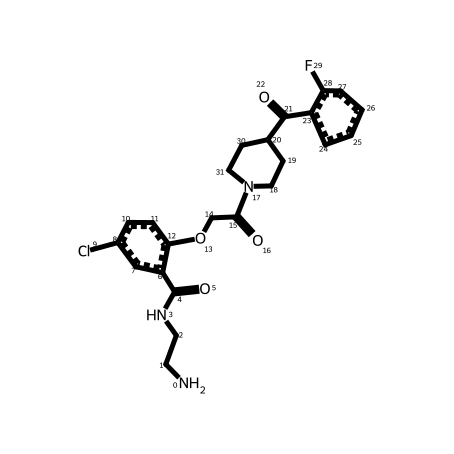 NCCNC(=O)c1cc(Cl)ccc1OCC(=O)N1CCC(C(=O)c2ccccc2F)CC1